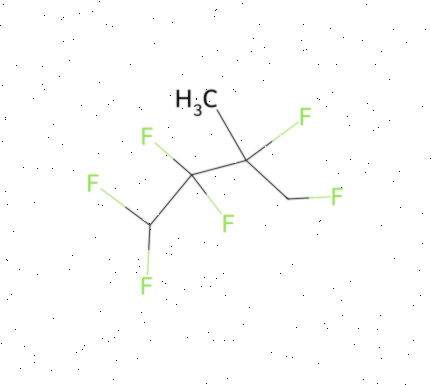 CC(F)(CF)C(F)(F)C(F)F